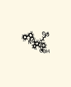 COC(=O)CCCCOc1cc(OCc2cccc(-c3ccccc3)c2C#N)c2c(c1CN1CCCC[C@H]1C(=O)O)CCC2